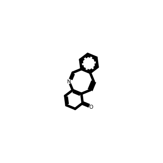 O=C1CC=CC2=C1C#Cc1ccccc1C=N2